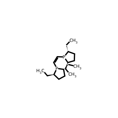 CC[C@@H]1CC[C@@H](CC)P1/C=C\P1[C@H](CC)CC[C@H]1CC